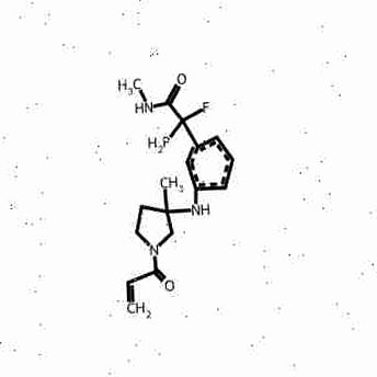 C=CC(=O)N1CCC(C)(Nc2cccc(C(F)(P)C(=O)NC)c2)C1